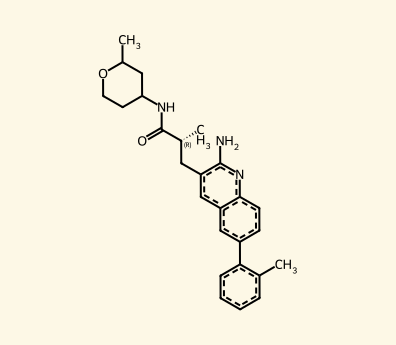 Cc1ccccc1-c1ccc2nc(N)c(C[C@@H](C)C(=O)NC3CCOC(C)C3)cc2c1